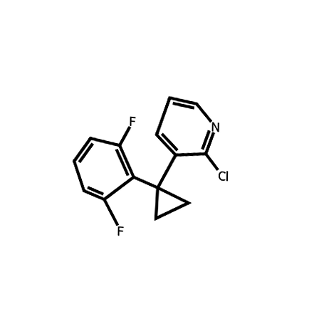 Fc1cccc(F)c1C1(c2cccnc2Cl)CC1